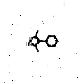 Cc1n[nH]c(F)c1-c1ccccc1